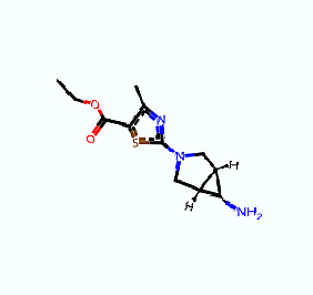 CCOC(=O)c1sc(N2C[C@@H]3[C@@H](N)[C@@H]3C2)nc1C